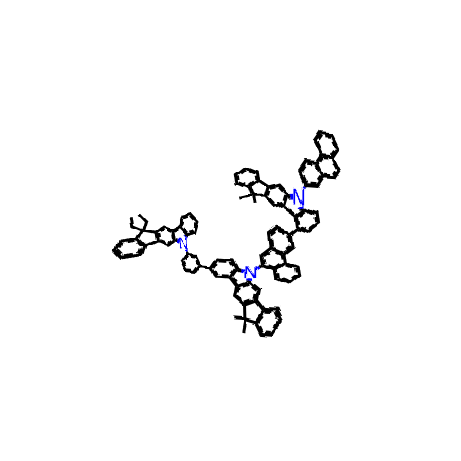 CCC1(CC)c2ccccc2-c2cc3c(cc21)c1ccccc1n3-c1cccc(-c2ccc3c(c2)c2cc4c(cc2n3-c2cc3ccc(-c5cccc6c5c5cc7c(cc5n6-c5ccc6c(ccc8ccccc86)c5)-c5ccccc5C7(C)C)cc3c3ccccc23)-c2ccccc2C4(C)C)c1